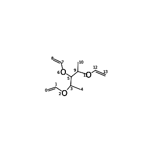 C=COC(C)C(OC=C)C(C)OC=C